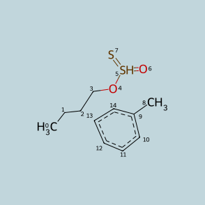 CCCCO[SH](=O)=S.Cc1ccccc1